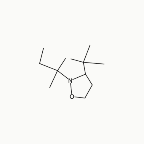 CCC(C)(C)N1OCCC1C(C)(C)C